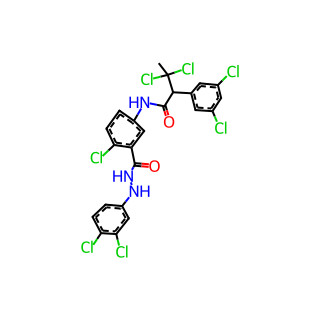 CC(Cl)(Cl)C(C(=O)Nc1ccc(Cl)c(C(=O)NNc2ccc(Cl)c(Cl)c2)c1)c1cc(Cl)cc(Cl)c1